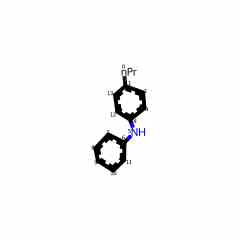 CCCc1ccc(Nc2cc[c]cc2)cc1